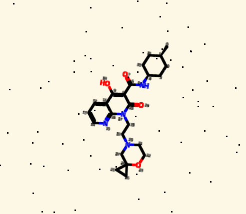 C[C@H]1CC[C@@H](NC(=O)c2c(O)c3cccnc3n(CCN3CCOC4(CC4)C3)c2=O)CC1